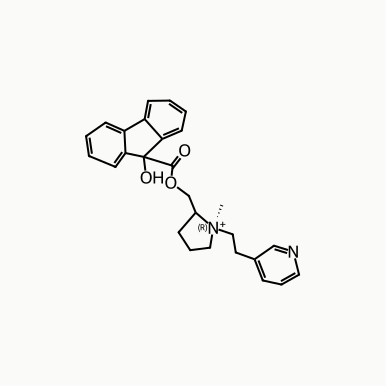 C[N@+]1(CCc2cccnc2)CCCC1COC(=O)C1(O)c2ccccc2-c2ccccc21